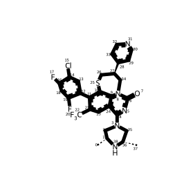 C[C@@H]1CN(c2nc(=O)n3c4c(c(-c5cc(Cl)c(F)cc5F)c(C(F)(F)F)cc24)SC[C@@H](c2ccncc2)C3)C[C@H](C)N1